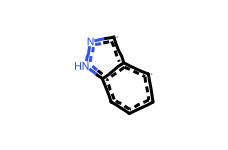 [c]1cccc2[nH]n[c]c12